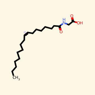 CCCCCCCCC/C=C\CCCCCCC(=O)NCC(=O)O